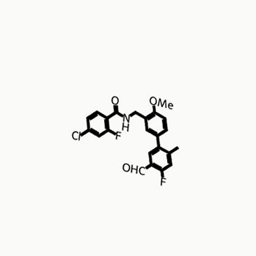 COc1ccc(-c2cc(C=O)c(F)cc2C)cc1CNC(=O)c1ccc(Cl)cc1F